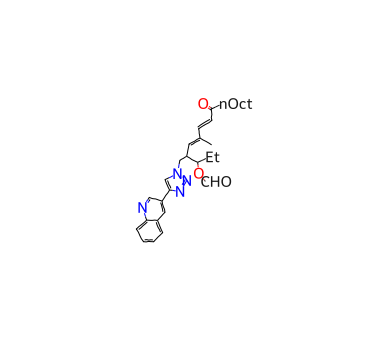 CCCCCCCCC(=O)/C=C/C(C)=C/C(Cn1cc(-c2cnc3ccccc3c2)nn1)C(CC)OC=O